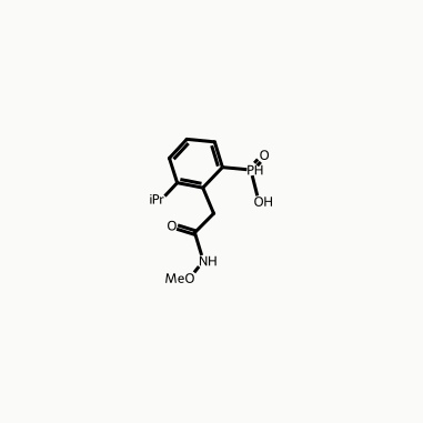 CONC(=O)Cc1c(C(C)C)cccc1[PH](=O)O